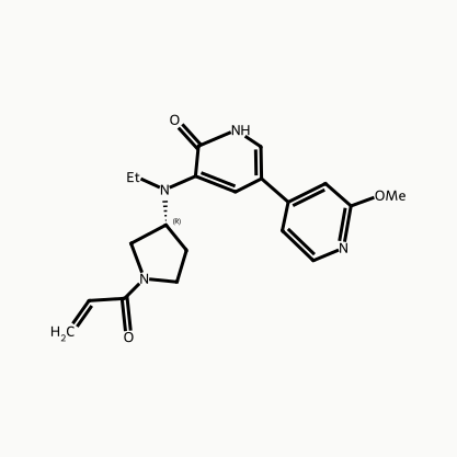 C=CC(=O)N1CC[C@@H](N(CC)c2cc(-c3ccnc(OC)c3)c[nH]c2=O)C1